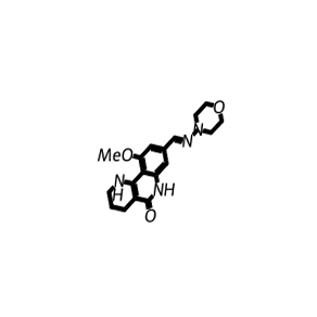 COc1cc(C=NN2CCOCC2)cc2[nH]c(=O)c3c(c12)NCCC3